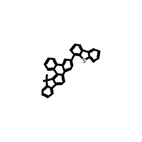 CC1(C)c2ccccc2-c2ccc3c4ccc(-c5cccc6c5sc5ccccc56)cc4c4ccccc4c3c21